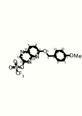 COc1ccc(COc2ccc3ncc(OS(=O)(=O)C(F)(F)F)nc3n2)cc1